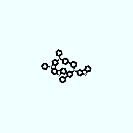 c1ccc(-c2ccc(N(c3cccc(-c4ccc(N(c5ccccc5)c5ccc6c(c5)c5c7c(ccc5n6-c5ccccc5)sc5ccccc57)cc4)c3)c3ccc4oc5ccccc5c4c3)cc2)cc1